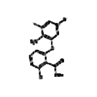 COC(=O)c1c(Cl)cccc1Oc1c[n+]([O-])cc(C)c1[N+](=O)[O-]